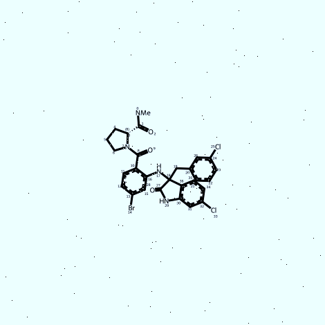 CNC(=O)[C@H]1CCCN1C(=O)c1ccc(Br)cc1NC1(Cc2cccc(Cl)c2)C(=O)Nc2cc(Cl)ccc21